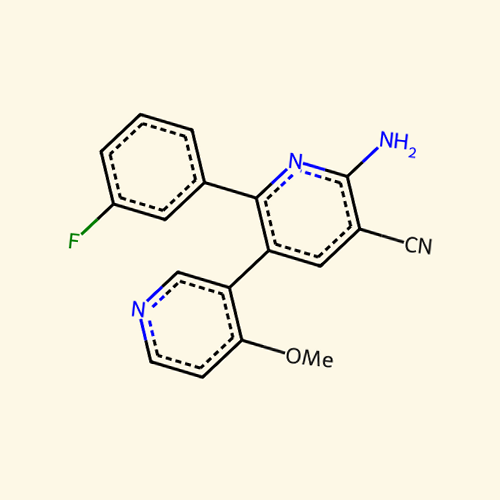 COc1ccncc1-c1cc(C#N)c(N)nc1-c1cccc(F)c1